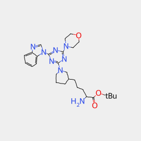 CC(C)(C)OC(=O)C(N)CCCC1CCCN(c2nc(N3CCOCC3)nc(-n3cnc4ccccc43)n2)C1